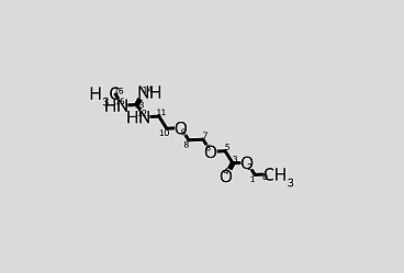 CCOC(=O)COCCOCCNC(=N)NC